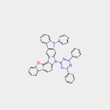 c1ccc(-c2nc(-c3ccccc3)nc(-n3c4cc5c(cc4c4c6oc7ccccc7c6ccc43)c3ccccc3n5-c3ccccc3)n2)cc1